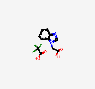 O=C(O)C(F)(F)F.O=C(O)Cn1cnc2ccccc21